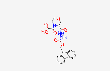 O=C(NNC(=O)C1COCCN1C(=O)C(=O)O)OCC1c2ccccc2-c2ccccc21